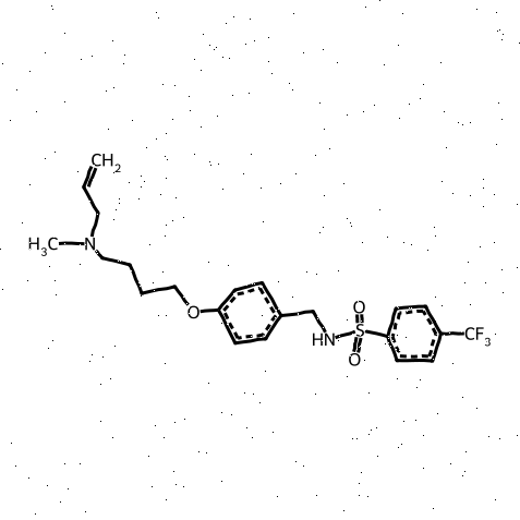 C=CCN(C)CCCCOc1ccc(CNS(=O)(=O)c2ccc(C(F)(F)F)cc2)cc1